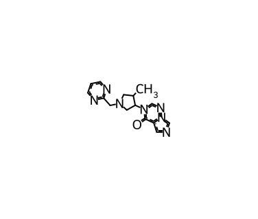 CC1CN(Cc2ncccn2)CC1n1cnn2cncc2c1=O